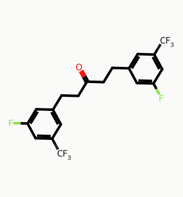 O=C(CCc1cc(F)cc(C(F)(F)F)c1)CCc1cc(F)cc(C(F)(F)F)c1